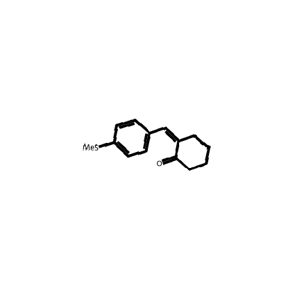 CSc1ccc(/C=C2/CCCCC2=O)cc1